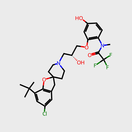 CN(C(=O)C(F)(F)F)c1ccc(O)cc1OC[C@H](O)CN1CCC2(CC1)Cc1cc(Cl)cc(C(C)(C)C)c1O2